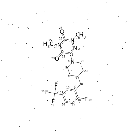 Cn1nc(N2CCC(Cc3cc(C(F)(F)F)ccc3F)CC2)c(=O)n(C)c1=O